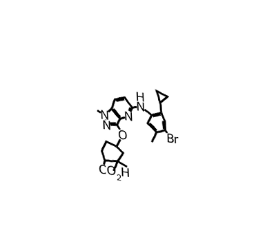 Cc1cc(Nc2ccc3c(n2)c(OC2CCC(C(=O)O)C(C)(C)C2)nn3C)c(C2CC2)cc1Br